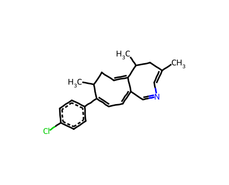 C/C1=C\N=C/C2=C/C=C(/c3ccc(Cl)cc3)C(C)C\C=C\2C(C)C1